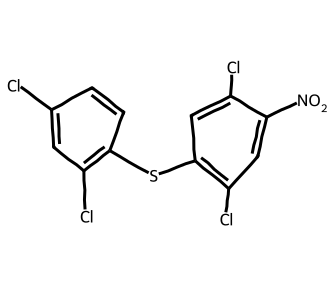 O=[N+]([O-])c1cc(Cl)c(Sc2ccc(Cl)cc2Cl)cc1Cl